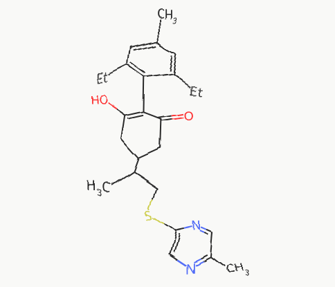 CCc1cc(C)cc(CC)c1C1=C(O)CC(C(C)CSc2cnc(C)cn2)CC1=O